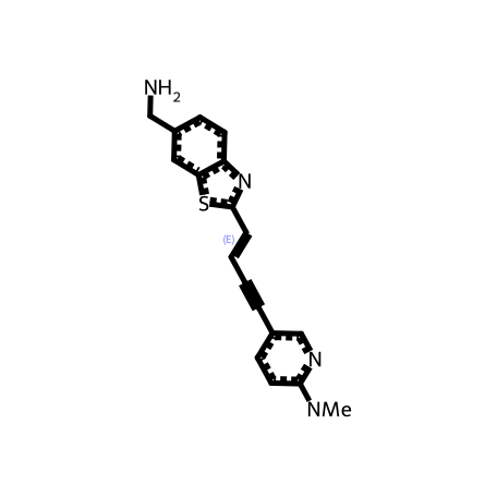 [11CH3]Nc1ccc(C#C/C=C/c2nc3ccc(CN)cc3s2)cn1